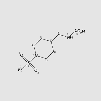 CCS(=O)(=O)N1CCC(CNC(=O)O)CC1